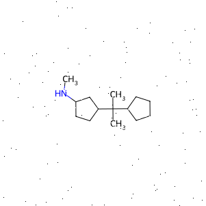 CNC1CCC(C(C)(C)C2CCCC2)C1